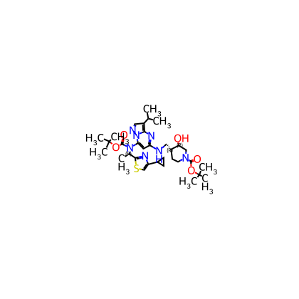 CC(C)c1cnn2c(N(C(=O)OC(C)(C)C)[C@H](C)c3nc(C4CC4)cs3)cc(NC[C@H]3CCN(C(=O)OC(C)(C)C)C[C@@H]3O)nc12